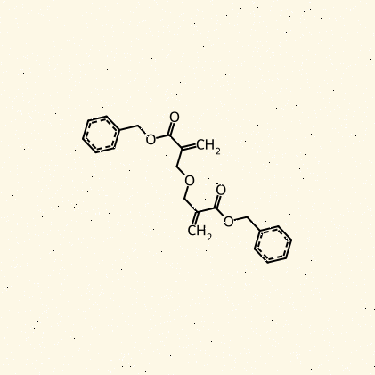 C=C(COCC(=C)C(=O)OCc1ccccc1)C(=O)OCc1ccccc1